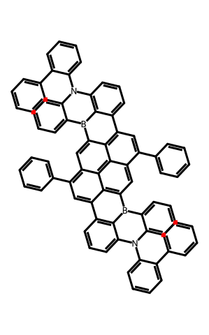 c1ccc(-c2ccccc2N2c3ccccc3B3c4c(cccc42)-c2cc(-c4ccccc4)c4cc5c6c(cc(-c7ccccc7)c7cc3c2c4c76)-c2cccc3c2B5c2ccccc2N3c2ccccc2-c2ccccc2)cc1